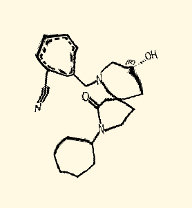 N#Cc1ccccc1CN1C[C@H](O)CC12CCN(C1CCCCC1)C2=O